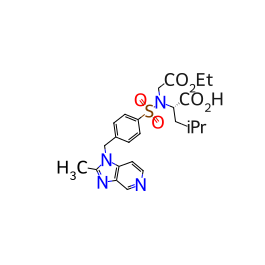 CCOC(=O)CN([C@@H](CC(C)C)C(=O)O)S(=O)(=O)c1ccc(Cn2c(C)nc3cnccc32)cc1